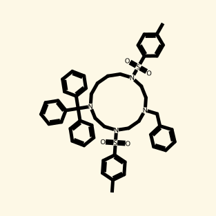 Cc1ccc(S(=O)(=O)N2CCCCN(C(c3ccccc3)(c3ccccc3)c3ccccc3)CCN(S(=O)(=O)c3ccc(C)cc3)CCN(Cc3ccccc3)CC2)cc1